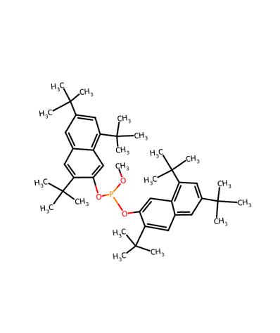 COP(Oc1cc2c(C(C)(C)C)cc(C(C)(C)C)cc2cc1C(C)(C)C)Oc1cc2c(C(C)(C)C)cc(C(C)(C)C)cc2cc1C(C)(C)C